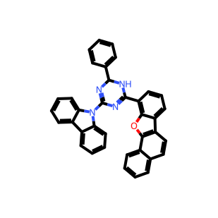 c1ccc(C2N=C(n3c4ccccc4c4ccccc43)N=C(c3cccc4c3oc3c5ccccc5ccc43)N2)cc1